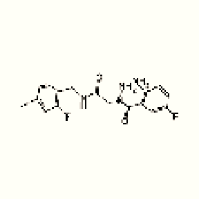 Cc1ccc(CNC(=O)CN(N)C(=O)c2cc(F)ccc2N)c(F)c1